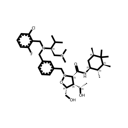 CC(C)[C@@H](CN(C)C)N(Cc1cccc(CN2O[C@@H](CO)[C@@H]([C@H](C)O)[C@H]2C(=O)N[C@H]2C[C@@H](C)C(C)(C)[C@@H](C)[C@@H]2C)c1)Cc1c(F)cccc1Cl